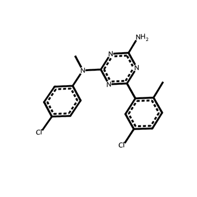 Cc1ccc(Cl)cc1-c1nc(N)nc(N(C)c2ccc(Cl)cc2)n1